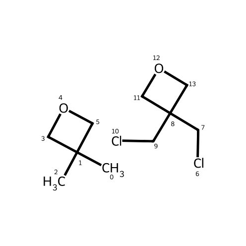 CC1(C)COC1.ClCC1(CCl)COC1